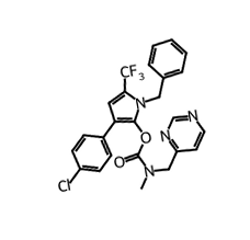 CN(Cc1ccncn1)C(=O)Oc1c(-c2ccc(Cl)cc2)cc(C(F)(F)F)n1Cc1ccccc1